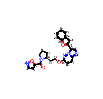 O=C(c1ccno1)N1CCC[C@H]1CCOc1ccc2ncc(-c3cc4ccccc4o3)n2n1